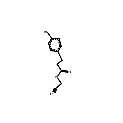 C#CCNC(=O)CCc1ccc(S)cc1